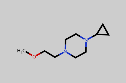 COCCN1CCN(C2CC2)CC1